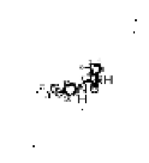 Cc1cccc2c1C(=CNc1ccc(OC(F)(F)F)cc1)C(=O)N2